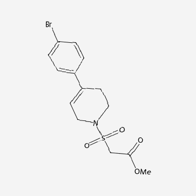 COC(=O)CS(=O)(=O)N1CC=C(c2ccc(Br)cc2)CC1